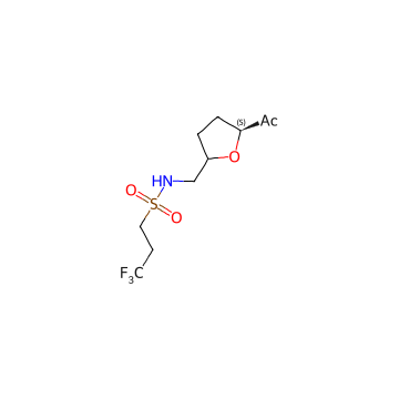 CC(=O)[C@@H]1CCC(CNS(=O)(=O)CCC(F)(F)F)O1